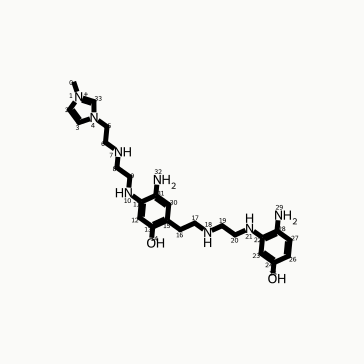 C[n+]1ccn(CCNCCNc2cc(O)c(CCNCCNc3cc(O)ccc3N)cc2N)c1